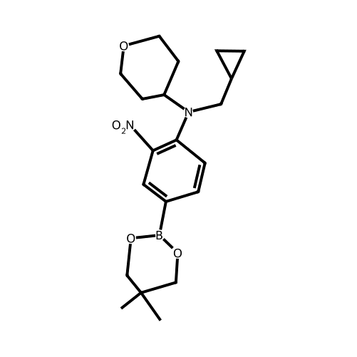 CC1(C)COB(c2ccc(N(CC3CC3)C3CCOCC3)c([N+](=O)[O-])c2)OC1